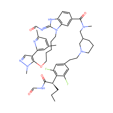 CCC[C@@H](C(=O)NC=O)c1c(F)cc(CCN2CCCC(CN(C)C(=O)c3ccc4[nH]/c(=N\C=O)n(CCCCCOc5c(-c6cc(C)cc(C)n6)cnn5C)c4c3)C2)cc1F